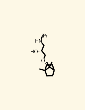 CC(C)NC[C@@H](O)CO[C@@H]1CC2CCC1(C)C2(C)C